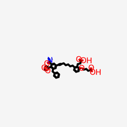 CN(C)C(=O)c1cc(C#CCCCCCc2cccc(OCCCC(=O)O)c2CCC(=O)O)cc(Cc2ccccc2)c1C1=COCO1